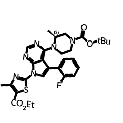 CCOC(=O)c1sc(-n2cc(-c3ccccc3F)c3c(N4CCN(C(=O)OC(C)(C)C)C[C@@H]4C)ncnc32)nc1C